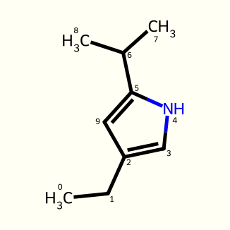 CCc1c[nH]c(C(C)C)c1